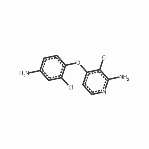 Nc1ccc(Oc2ccnc(N)c2Cl)c(Cl)c1